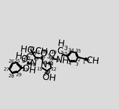 C#Cc1ccc(C(C)NC(=O)[C@@H]2C[C@@H](O)CN2C(=O)C(NC(=O)Oc2ccccc2)C(C)(C)O)cc1